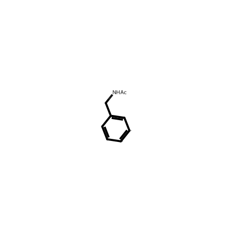 CC(=O)NCc1c[c][c]cc1